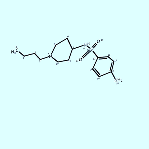 CCCCN1CCC(NS(=O)(=O)c2ccc(N)cc2)CC1